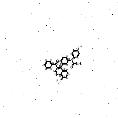 NC(=O)N(c1ccc(F)cc1)c1cccc(-c2c(C(=O)c3ccccc3)cnc3c(C(F)(F)F)cccc23)c1